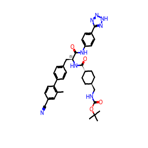 Cc1cc(C#N)ccc1-c1ccc(C[C@H](NC(=O)[C@H]2CC[C@H](CNC(=O)OC(C)(C)C)CC2)C(=O)Nc2ccc(-c3nn[nH]n3)cc2)cc1